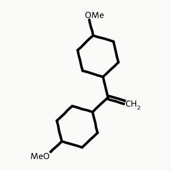 C=C(C1CCC(OC)CC1)C1CCC(OC)CC1